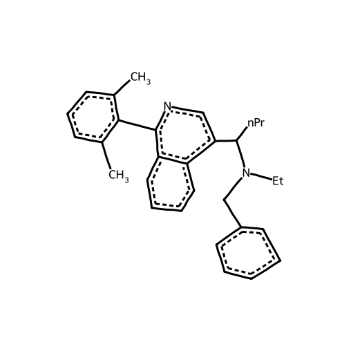 CCCC(c1cnc(-c2c(C)cccc2C)c2ccccc12)N(CC)Cc1ccccc1